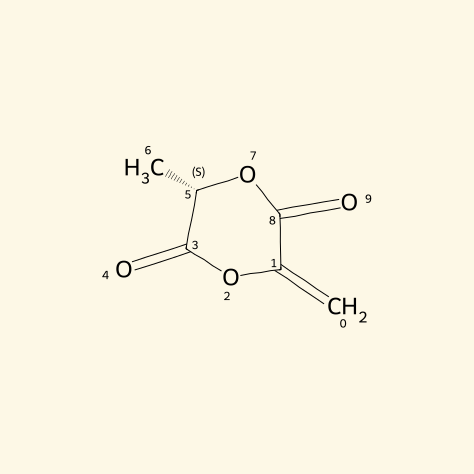 C=C1OC(=O)[C@H](C)OC1=O